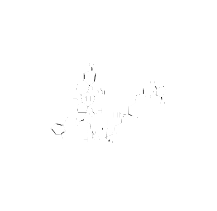 C[C@]12C=CC(=O)C=C1[C@@H](F)C[C@H]1[C@@H]3C[C@@H](OCc4cccc(F)c4)[C@](O)(C(=O)COP(=O)(O)OP(=O)(O)OCCNC(=O)CCCC(=O)ON4C(=O)CCC4=O)[C@@]3(C)C[C@H](O)[C@@]12F